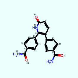 NC(=O)c1ccc(-c2ccc(=O)[nH]c2-c2ccc(C(N)=O)cc2)cc1